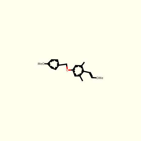 CO/C=C/c1c(C)cc(OCc2ccc(OC)cc2)cc1C